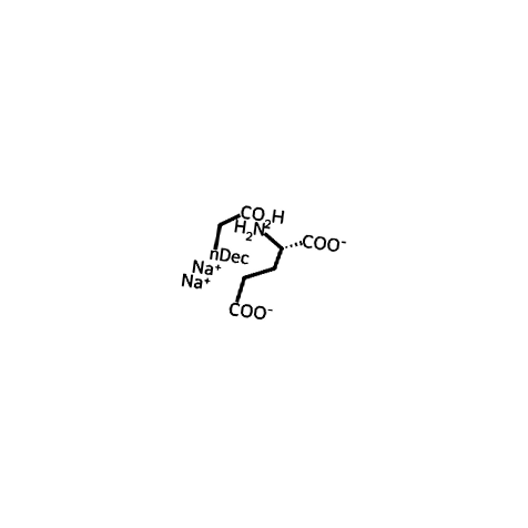 CCCCCCCCCCCC(=O)O.N[C@@H](CCC(=O)[O-])C(=O)[O-].[Na+].[Na+]